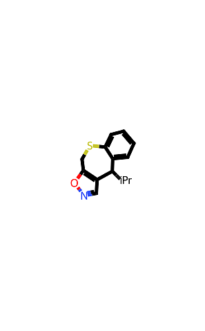 CC(C)C1c2ccccc2SCc2oncc21